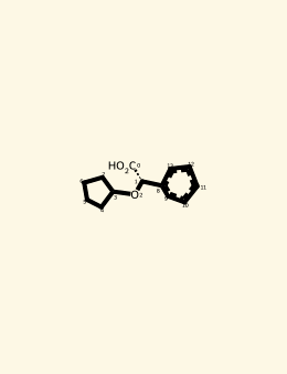 O=C(O)[C@@H](OC1CCCC1)c1ccccc1